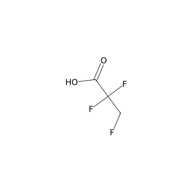 O=C(O)C(F)(F)CF